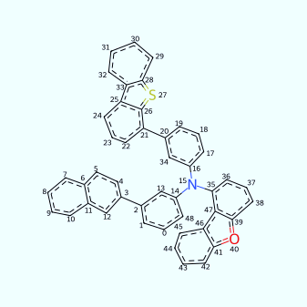 c1cc(-c2ccc3ccccc3c2)cc(N(c2cccc(-c3cccc4c3sc3ccccc34)c2)c2cccc3oc4ccccc4c23)c1